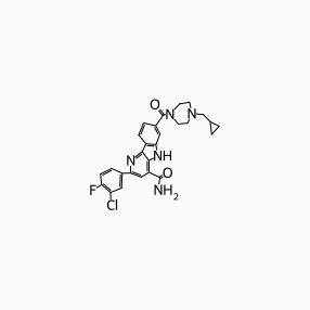 NC(=O)c1cc(-c2ccc(F)c(Cl)c2)nc2c1[nH]c1cc(C(=O)N3CCN(CC4CC4)CC3)ccc12